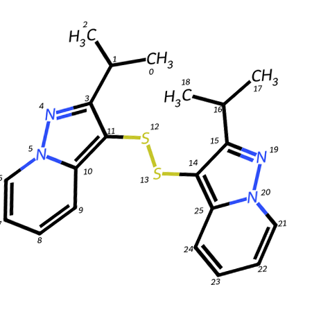 CC(C)c1nn2ccccc2c1SSc1c(C(C)C)nn2ccccc12